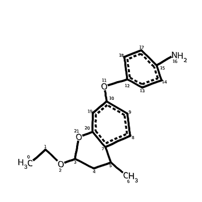 CCOC1CC(C)c2ccc(Oc3ccc(N)cc3)cc2O1